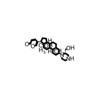 C[C@]12CC[C@H](N3CCNC[C@H]3CO)CC1CC[C@@H]1[C@@H]2CC[C@]2(C)[C@@H](c3ccc(=O)oc3)CC[C@]12O